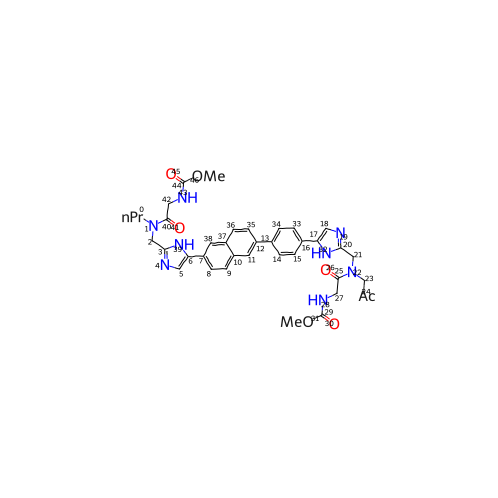 CCCN(Cc1ncc(-c2ccc3cc(-c4ccc(-c5cnc(CN(CC(C)=O)C(=O)CNC(=O)OC)[nH]5)cc4)ccc3c2)[nH]1)C(=O)CNC(=O)OC